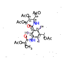 CC(=O)OCc1c(I)c(NC(=O)C(C)OC(C)=O)c(I)c(C(=O)NC(COC(C)=O)C(COC(C)=O)OC(C)=O)c1I